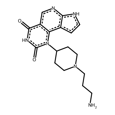 NCCCN1CCC(n2c(=O)[nH]c(=O)c3cnc4[nH]ccc4c32)CC1